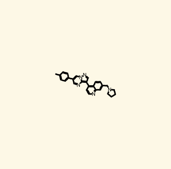 Cc1ccc(-c2cnc3c(-c4ccnc5cc(CN6CCCC6)ccc45)cnn3c2)cc1